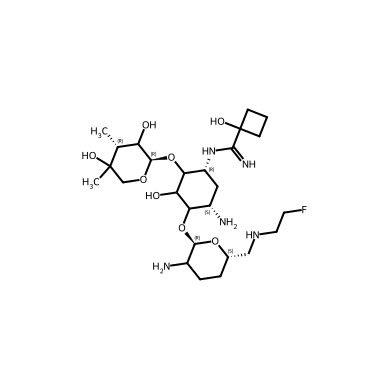 C[C@@H]1C(O)[C@@H](OC2C(O)C(O[C@H]3O[C@H](CNCCF)CCC3N)[C@@H](N)C[C@H]2NC(=N)C2(O)CCC2)OCC1(C)O